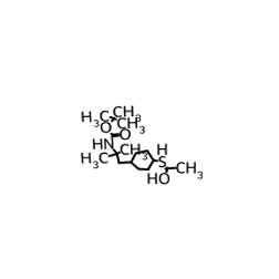 CC(O)=[SH]C1CCC(CC(C)(C)NC(=O)OC(C)(C)C)CC1